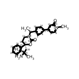 C[C@@H](c1ccc(-c2ccn(C)c(=O)c2)cc1)N1CC[C@](CC(C)(C)N)(c2ccccc2)OC1=O